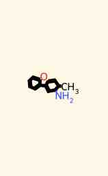 CC1C=c2oc3ccccc3c2=CC1N